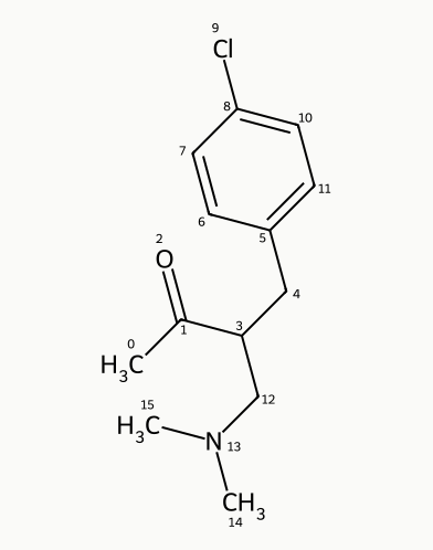 CC(=O)C(Cc1ccc(Cl)cc1)CN(C)C